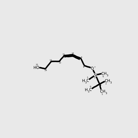 CC(C)(C)[Si](C)(C)OCC=C=CCCCO